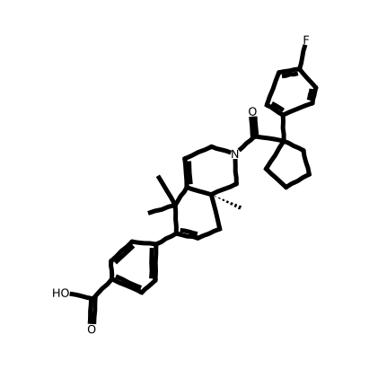 CC1(C)C(c2ccc(C(=O)O)cc2)=CC[C@]2(C)CN(C(=O)C3(c4ccc(F)cc4)CCCC3)CC=C12